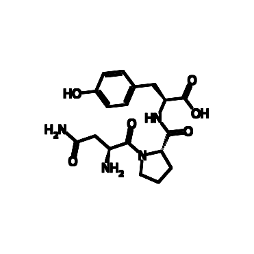 NC(=O)C[C@H](N)C(=O)N1CCC[C@H]1C(=O)N[C@@H](Cc1ccc(O)cc1)C(=O)O